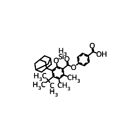 Cc1c(C)c(C(C)(C)C)c(C23CC4CC(CC(C4)C2)C3)c(O[SiH3])c1C(=O)Oc1ccc(C(=O)O)cc1